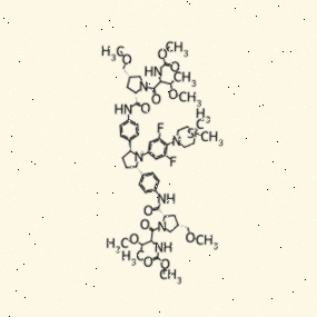 COC[C@H]1C[C@@H](C(=O)Nc2ccc([C@@H]3CC[C@@H](c4ccc(NC(=O)[C@@H]5C[C@H](COC)CN5C(=O)[C@@H](NC(=O)OC)[C@@H](C)OC)cc4)N3c3cc(F)c(N4CC[Si](C)(C)CC4)c(F)c3)cc2)N(C(=O)[C@@H](NC(=O)OC)[C@@H](C)OC)C1